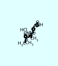 Cc1cc(NC(=O)c2ccc(CN3CCNC(=O)C3)cc2)nn1Cc1cc(Cl)ccc1OCC(C)C.Cl